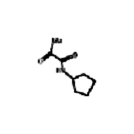 CC(C)(C)C(=O)C(=O)NC1CCCC1